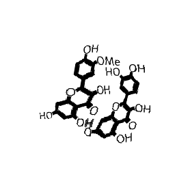 COc1cc(-c2oc3cc(O)cc(O)c3c(=O)c2O)ccc1O.O=c1c(O)c(-c2ccc(O)c(O)c2)oc2cc(O)cc(O)c12